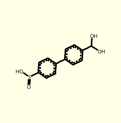 O=S(O)c1ccc(-c2ccc(C(O)O)cc2)cc1